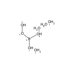 O.O.O.O.OOB(O)O